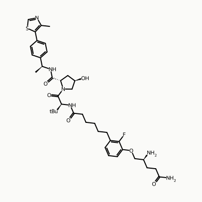 Cc1ncsc1-c1ccc([C@H](C)NC(=O)[C@@H]2C[C@@H](O)CN2C(=O)[C@@H](NC(=O)CCCCCc2cccc(OC[C@@H](N)CCC(N)=O)c2F)C(C)(C)C)cc1